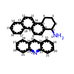 NC1CCCc2c1ccc1c2ccc2ccccc21.c1ccc2nc3ccccc3cc2c1